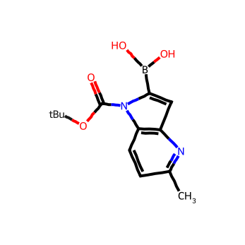 Cc1ccc2c(cc(B(O)O)n2C(=O)OC(C)(C)C)n1